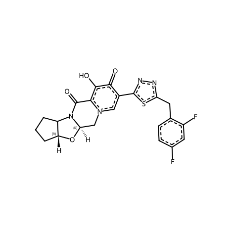 O=C1c2c(O)c(=O)c(-c3nnc(Cc4ccc(F)cc4F)s3)cn2C[C@H]2O[C@@H]3CCCC3N12